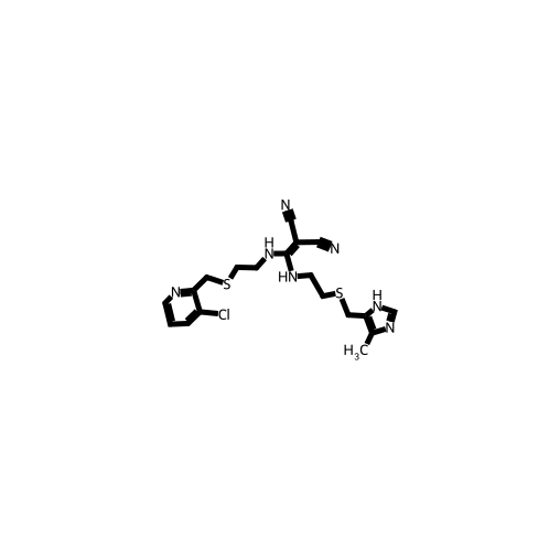 Cc1nc[nH]c1CSCCNC(NCCSCc1ncccc1Cl)=C(C#N)C#N